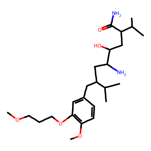 COCCCOc1cc(CC(CC(N)C(O)CC(C(N)=O)C(C)C)C(C)C)ccc1OC